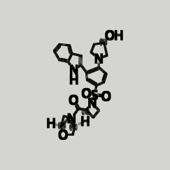 O=C([C@@H]1CCN1S(=O)(=O)c1ccc(N2CC[C@H](O)C2)c(-c2cc3ccccc3[nH]2)c1)N1C[C@H]2C[C@@H]1CO2